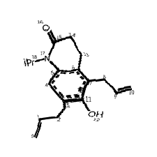 C=CCc1cc2c(c(CC=C)c1O)CCC(=O)N2C(C)C